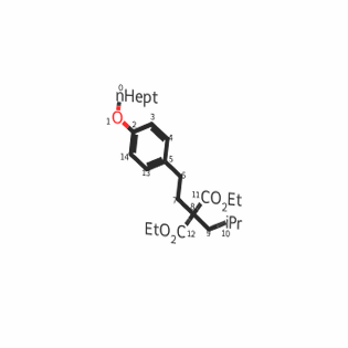 CCCCCCCOc1ccc(CCC(CC(C)C)(C(=O)OCC)C(=O)OCC)cc1